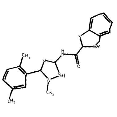 Cc1ccc(C)c(C2OC(NC(=O)C3Nc4ccccc4S3)NN2C)c1